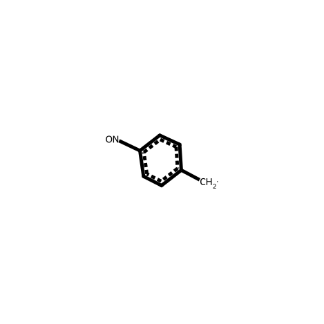 [CH2]c1ccc(N=O)cc1